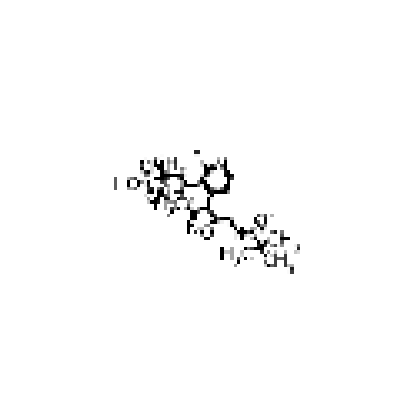 CC1=NOC(/C=N/[S@@+]([O-])C(C)(C)C)C1c1ccnc(F)c1CCC(C)(C)[Si](C)(C)O